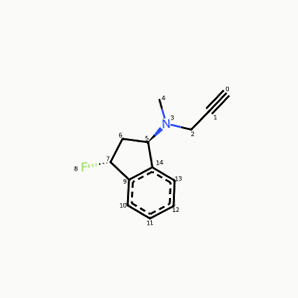 C#CCN(C)[C@@H]1C[C@@H](F)c2ccccc21